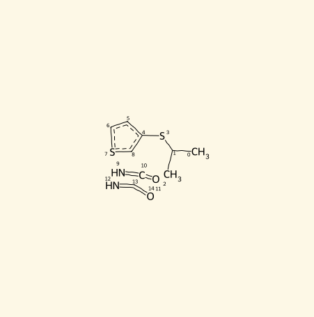 CC(C)Sc1ccsc1.N=C=O.N=C=O